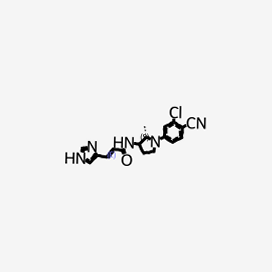 C[C@H]1C(NC(=O)/C=C/c2c[nH]cn2)CCN1c1ccc(C#N)c(Cl)c1